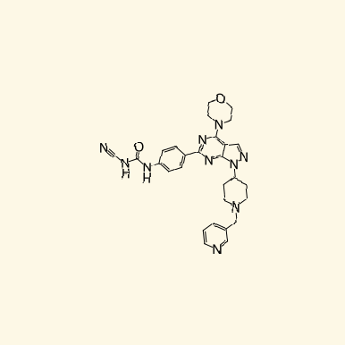 N#CNC(=O)Nc1ccc(-c2nc(N3CCOCC3)c3cnn(C4CCN(Cc5cccnc5)CC4)c3n2)cc1